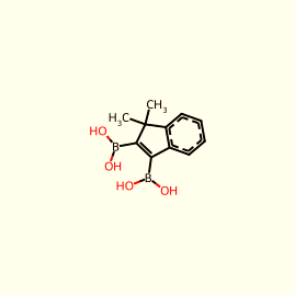 CC1(C)C(B(O)O)=C(B(O)O)c2ccccc21